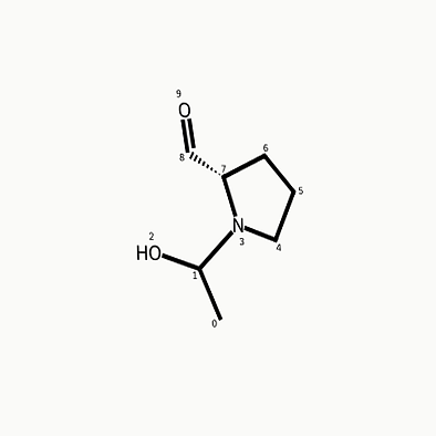 CC(O)N1CCC[C@H]1C=O